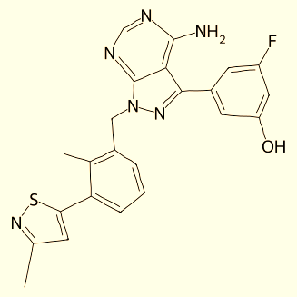 Cc1cc(-c2cccc(Cn3nc(-c4cc(O)cc(F)c4)c4c(N)ncnc43)c2C)sn1